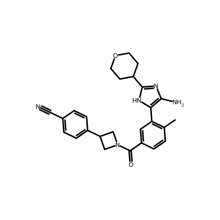 Cc1ccc(C(=O)N2CC(c3ccc(C#N)cc3)C2)cc1-c1[nH]c(C2CCOCC2)nc1N